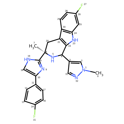 Cn1cc(C2N[C@@](C)(c3nc(-c4ccc(F)cc4)c[nH]3)Cc3c2[nH]c2cc(F)ccc32)cn1